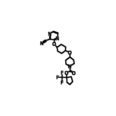 N#Cc1nccnc1OC1CCC(OC2CCN(C(=O)OC3(C(F)(F)F)CCCC3)CC2)CC1